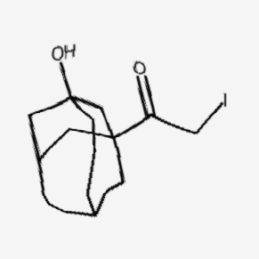 O=C(CI)C12CC3CC(CC(O)(C3)C1)C2